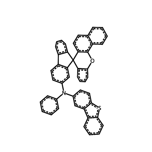 c1ccc(N(c2ccc3c(c2)C2(c4ccccc4Oc4c2ccc2ccccc42)c2ccccc2-3)c2ccc3sc4ccccc4c3c2)cc1